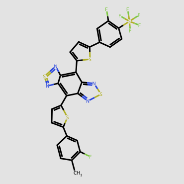 Cc1ccc(-c2ccc(-c3c4c(c(-c5ccc(-c6ccc(S(F)(F)(F)(F)F)c(F)c6)s5)c5nsnc35)N=S=N4)s2)cc1F